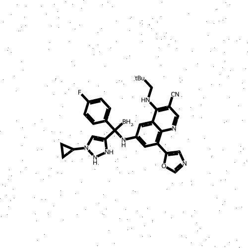 BC(Nc1cc(-c2cnco2)c2ncc(C#N)c(NCC(C)(C)C)c2c1)(C1=CN(C2CC2)NN1)c1ccc(F)cc1